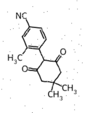 Cc1cc(C#N)ccc1C1C(=O)CC(C)(C)CC1=O